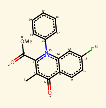 COC(=O)c1c(C)c(=O)c2ccc(F)cc2n1-c1ccccc1